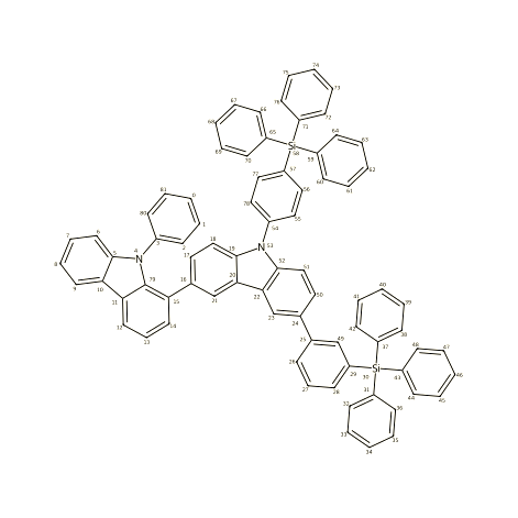 c1ccc(-n2c3ccccc3c3cccc(-c4ccc5c(c4)c4cc(-c6cccc([Si](c7ccccc7)(c7ccccc7)c7ccccc7)c6)ccc4n5-c4ccc([Si](c5ccccc5)(c5ccccc5)c5ccccc5)cc4)c32)cc1